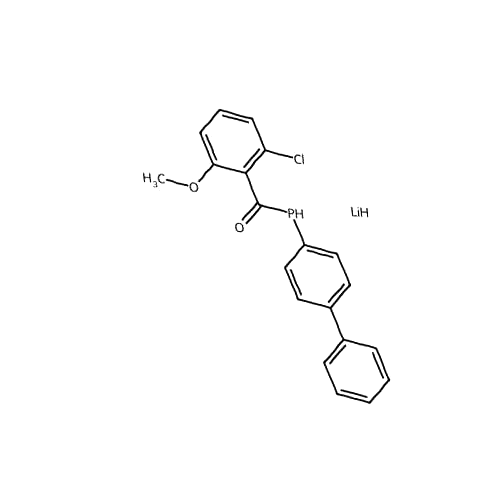 COc1cccc(Cl)c1C(=O)Pc1ccc(-c2ccccc2)cc1.[LiH]